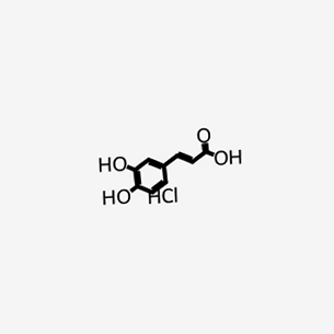 Cl.O=C(O)C=Cc1ccc(O)c(O)c1